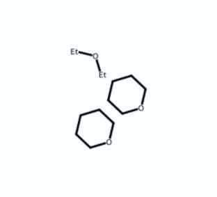 C1CCOCC1.C1CCOCC1.CCOCC